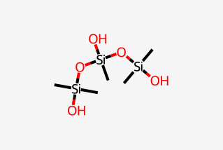 C[Si](C)(O)O[Si](C)(O)O[Si](C)(C)O